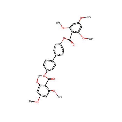 CCCOc1cc(OCCC)c(C(=O)Oc2ccc(-c3ccc(OC(=O)c4c(OCCC)cc(OCCC)cc4OCCC)cc3)cc2)c(OCCC)c1